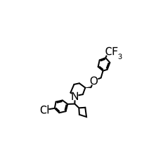 FC(F)(F)c1ccc(COC[C@@H]2CCCN(C(c3ccc(Cl)cc3)C3CCC3)C2)cc1